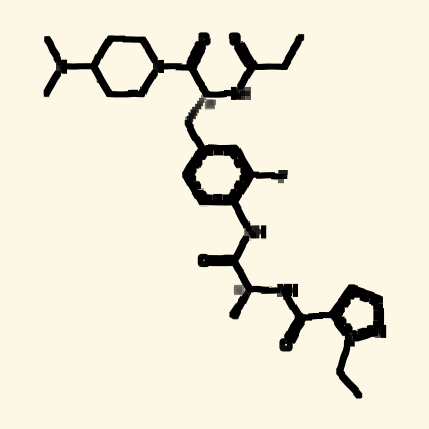 CCC(=O)N[C@H](Cc1ccc(NC(=O)[C@H](C)NC(=O)c2ccnn2CC)c(F)c1)C(=O)N1CCC(N(C)C)CC1